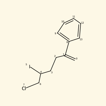 C=C(CCC(I)CCl)c1ccccc1